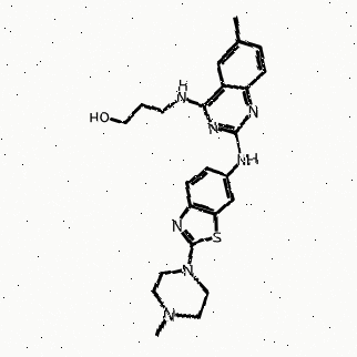 Cc1ccc2nc(Nc3ccc4nc(N5CCN(C)CC5)sc4c3)nc(NCCCO)c2c1